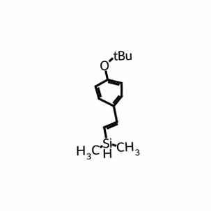 C[SiH](C)C=Cc1ccc(OC(C)(C)C)cc1